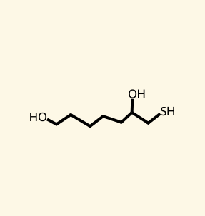 OCCCCCC(O)CS